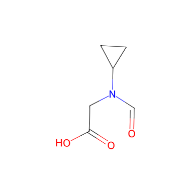 O=CN(CC(=O)O)C1CC1